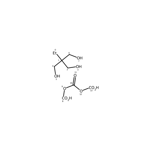 CCC(CO)(CO)CO.O=C(O)OC(=O)OC(=O)O